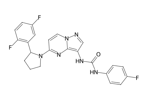 O=C(Nc1ccc(F)cc1)Nc1cnn2ccc(N3CCCC3c3cc(F)ccc3F)nc12